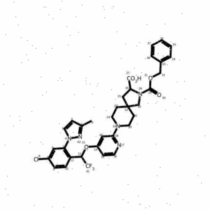 Cc1ccn(-c2cc(Cl)ccc2C(Oc2ccnc(N3CCC4(CC3)CC(C(=O)O)N(C(=O)OCc3ccccc3)C4)c2)C(F)(F)F)n1